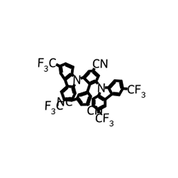 N#Cc1cc(C#N)cc(-c2c(-n3c4ccc(C(F)(F)F)cc4c4cc(C(F)(F)F)ccc43)cc(C#N)cc2-n2c3ccc(C(F)(F)F)cc3c3cc(C(F)(F)F)ccc32)c1